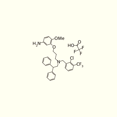 COc1ccc(N)cc1OCCCN(Cc1cccc(C(F)(F)F)c1Cl)CC(c1ccccc1)c1ccccc1.O=C(O)C(F)(F)F